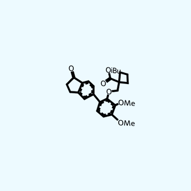 COc1ccc(-c2ccc3c(c2)CCC3=O)c(OCC2(C(=O)OCC(C)C)CCC2)c1OC